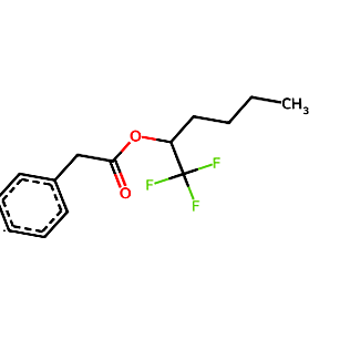 CCCCC(OC(=O)Cc1cc[c]cc1)C(F)(F)F